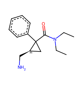 CCN(CC)C(=O)C1(c2ccccc2)C[C@H]1CN